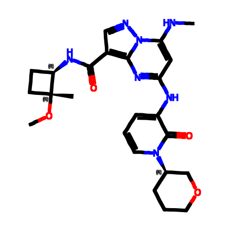 CNc1cc(Nc2cccn([C@@H]3CCCOC3)c2=O)nc2c(C(=O)N[C@@H]3CC[C@@]3(C)OC)cnn12